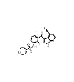 N#Cc1ccnc2[nH]cc(C(=O)c3c(F)ccc(NS(=O)(=O)N4CCOCC4)c3F)c12